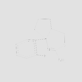 NC1=NC2(c3ccccc3F)CCCC2CS1